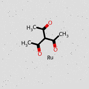 CC(=O)C(C(C)=O)C(C)=O.[Ru]